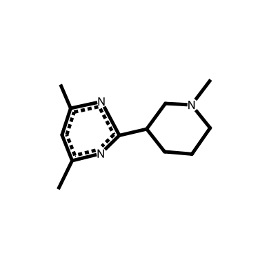 Cc1cc(C)nc(C2CCCN(C)C2)n1